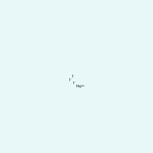 [Ho+3].[I-].[I-].[I-]